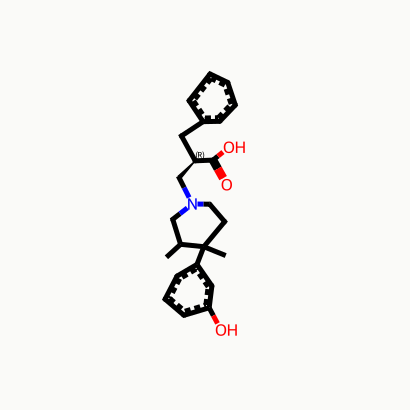 CC1CN(C[C@@H](Cc2ccccc2)C(=O)O)CCC1(C)c1cccc(O)c1